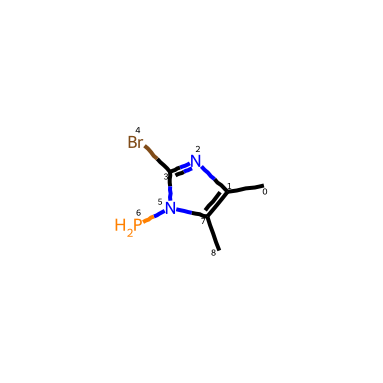 Cc1nc(Br)n(P)c1C